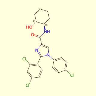 O=C(N[C@@H]1CCCC[C@H]1O)c1cn(-c2ccc(Cl)cc2)c(-c2ccc(Cl)cc2Cl)n1